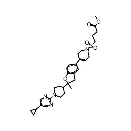 COC(=O)CCCS(=O)(=O)N1CC=C(c2ccc3c(c2)CC(C)(C2CCN(c4ncc(C5CC5)cn4)CC2)O3)CC1